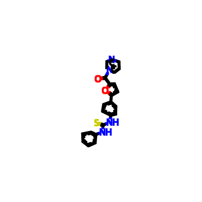 O=C(c1ccc(-c2ccc(NC(=S)Nc3ccccc3)cc2)o1)N1CCN2CCC1CC2